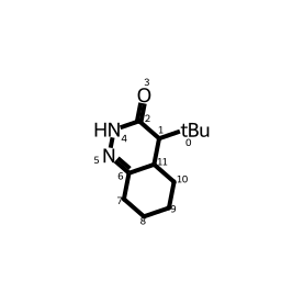 CC(C)(C)C1C(=O)NN=C2CCCCC21